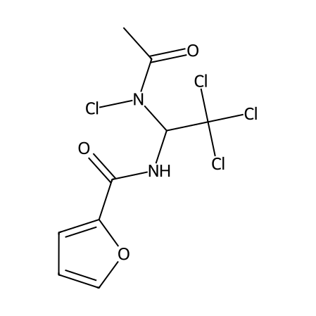 CC(=O)N(Cl)C(NC(=O)c1ccco1)C(Cl)(Cl)Cl